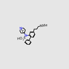 CNCCCc1ccc(-c2ccccc2)c(N(C(=O)O)C23CCN(CC2)CC3)c1